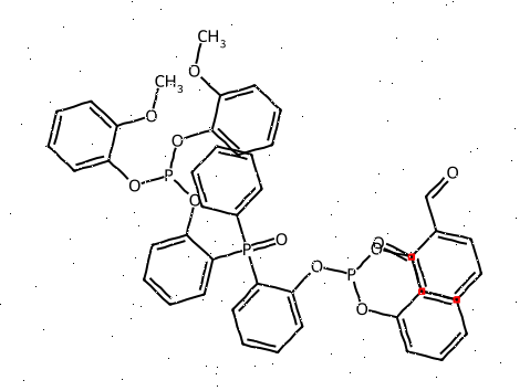 COc1ccccc1OP(Oc1ccccc1OC)Oc1ccccc1P(=O)(c1ccccc1)c1ccccc1OP(Oc1ccccc1C=O)Oc1ccccc1C=O